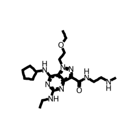 CCNc1nc(NC2CCCC2)c2c(n1)c(C(=O)NCCNC)nn2CCOCC